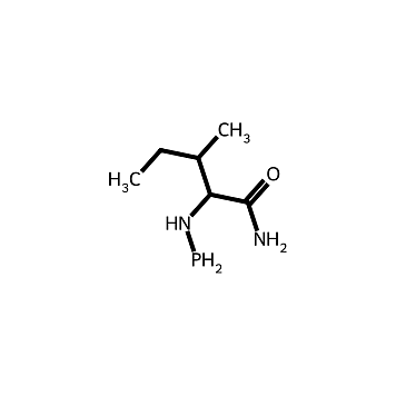 CCC(C)C(NP)C(N)=O